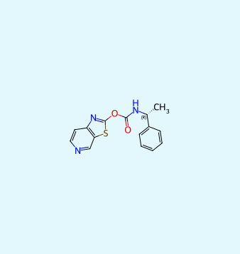 C[C@@H](NC(=O)Oc1nc2ccncc2s1)c1ccccc1